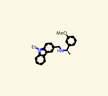 CCn1c2ccccc2c2cc(CN[C@H](C)c3cccc(OC)c3)ccc21